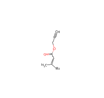 C#CCOC(=O)/C=C(\C)C(C)CC